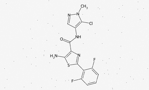 Cn1ncc(NC(=O)c2nc(-c3c(F)cccc3F)sc2N)c1Cl